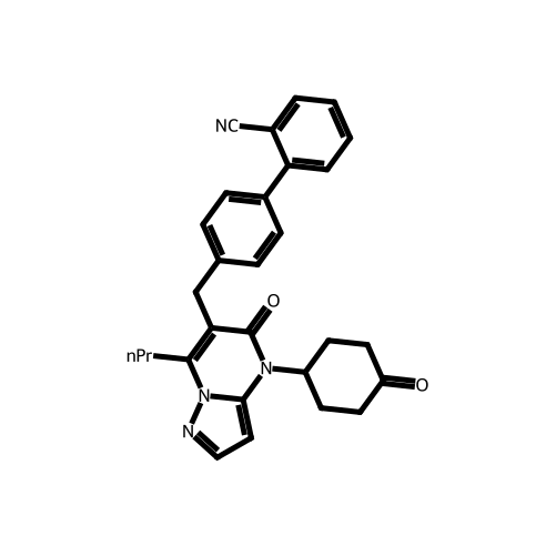 CCCc1c(Cc2ccc(-c3ccccc3C#N)cc2)c(=O)n(C2CCC(=O)CC2)c2ccnn12